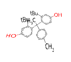 Cc1ccc(C(C)(c2ccc(O)cc2C(C)(C)C)c2ccc(O)cc2C(C)(C)C)cc1